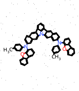 Cc1ccc(N(c2ccc3cc4c5cccc6c7cc8ccc(N(c9ccc(C)cc9)c9cccc%10c9oc9ccccc9%10)cc8cc7n(c4cc3c2)c56)c2cccc3c2oc2ccccc23)cc1